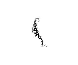 CCCCCC1CCC(c2cc3c(c(F)c2F)-c2c(cc(C4CCC(CCC)CO4)c(F)c2F)C3)CO1